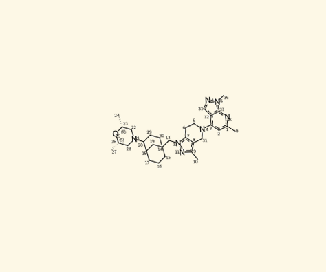 Cc1cc(N2CCc3c(c(C)nn3CC34CCCC(C3)C(N3C[C@@H](C)O[C@@H](C)C3)CC4)C2)c2cnn(C)c2n1